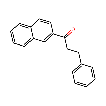 O=C(CCc1ccccc1)c1ccc2ccccc2c1